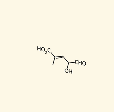 CC(=CC(O)C=O)C(=O)O